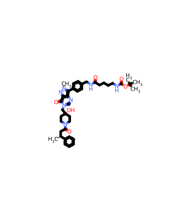 C[C@H](CC(=O)N1CCC(O)(Cn2cnc3c(-c4ccc(CNC(=O)CCCCNC(=O)OC(C)(C)C)cc4)n(C)nc3c2=O)CC1)c1ccccc1